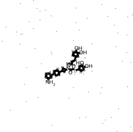 Nc1cccc(-c2ccc(C3CC(NC(=O)[C@@H](Cc4ccc(O)c(O)c4)OC(=O)/C=C/c4ccc(O)c(O)c4)C3)cc2)c1